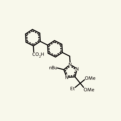 CCCCc1nc(C(CC)(OC)OC)nn1Cc1ccc(-c2ccccc2C(=O)O)cc1